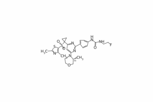 Cc1nc(C)c(S(=O)(=O)C2(c3cc(N4CCOC[C@@H]4C)nc(-c4ccc(NC(=O)NCCF)cc4)n3)CC2)s1